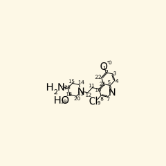 COc1ccc2ncc(Cl)c(CCN3CC[C@H](N)[C@@H](O)C3)c2c1